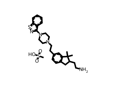 CC1(C)c2cc(CCN3CCN(c4nsc5ccccc45)CC3)ccc2CC1CCN.CS(=O)(=O)O